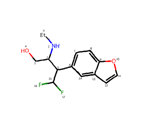 CCNC(CO)C(c1ccc2occc2c1)C(F)F